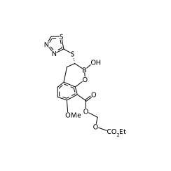 CCOC(=O)OCOC(=O)c1c(OC)ccc2c1OB(O)[C@@H](Sc1nncs1)C2